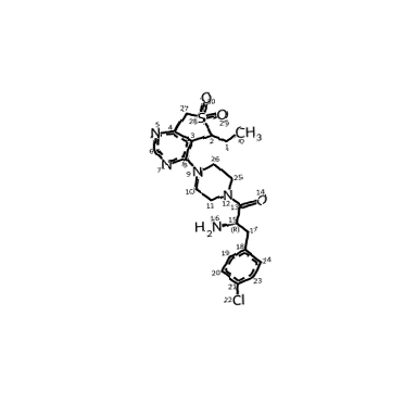 CCC1c2c(ncnc2N2CCN(C(=O)[C@H](N)Cc3ccc(Cl)cc3)CC2)CS1(=O)=O